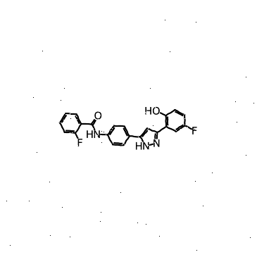 O=C(Nc1ccc(-c2cc(-c3cc(F)ccc3O)n[nH]2)cc1)c1ccccc1F